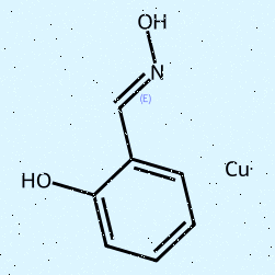 O/N=C/c1ccccc1O.[Cu]